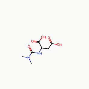 CN(C)C(=O)NC(CC(=O)O)C(=O)O